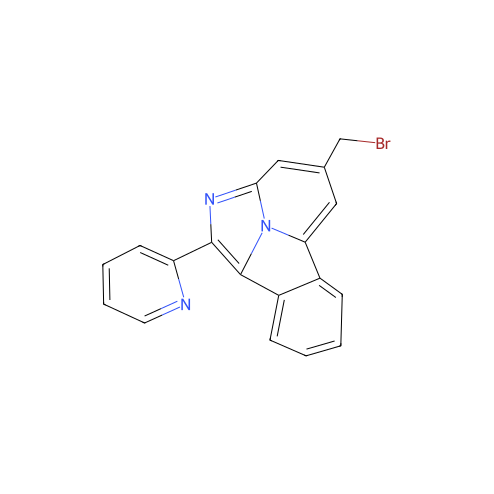 BrCc1cc2nc(-c3ccccn3)c3c4ccccc4c(c1)n23